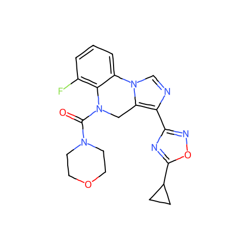 O=C(N1CCOCC1)N1Cc2c(-c3noc(C4CC4)n3)ncn2-c2cccc(F)c21